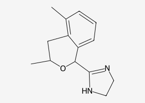 Cc1cccc2c1CC(C)OC2C1=NCCN1